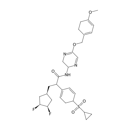 COC1=CC=C(COC2=NCC(NC(=O)C(C[C@H]3C[C@@H](F)[C@@H](F)C3)C3=CCC(S(=O)(=O)C4CC4)C=C3)N=C2)CC1